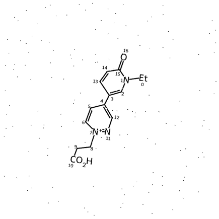 CCn1cc(-c2cc[n+](CCC(=O)O)nc2)ccc1=O